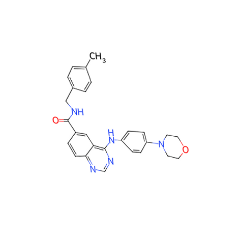 Cc1ccc(CNC(=O)c2ccc3ncnc(Nc4ccc(N5CCOCC5)cc4)c3c2)cc1